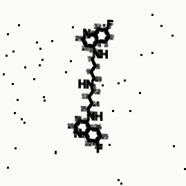 Fc1ccc2c(NCCCCNCCCCNc3ccnc4cc(F)ccc34)ccnc2c1